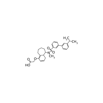 CC(C)c1cccc(-c2cccc(S(=O)(=O)N(C)C3CCCCC4=C(OCC(=O)O)C=CCC43)c2)c1